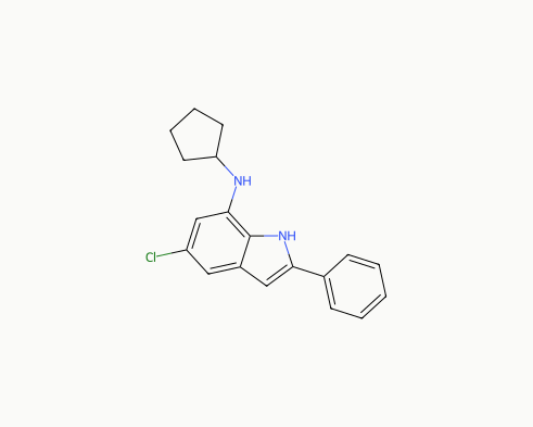 Clc1cc(NC2CCCC2)c2[nH]c(-c3ccccc3)cc2c1